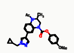 COc1ccc(OC(=O)N2C[C@H](C)N(C(C)=O)c3ccc(-c4cnn(CC5CC5)c4)cc32)cc1